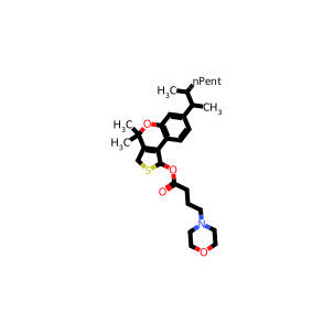 CCCCCC(C)C(C)c1ccc2c(c1)OC(C)(C)C1=C2C(OC(=O)CCCN2CCOCC2)SC1